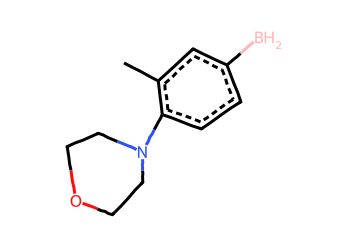 Bc1ccc(N2CCOCC2)c(C)c1